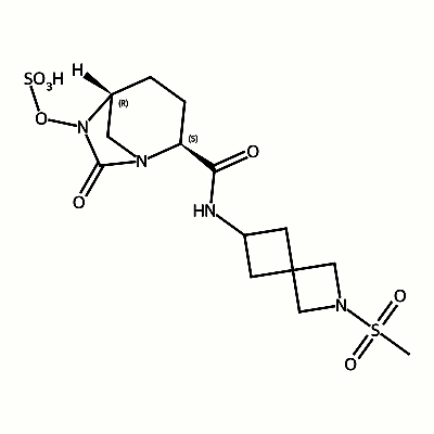 CS(=O)(=O)N1CC2(CC(NC(=O)[C@@H]3CC[C@@H]4CN3C(=O)N4OS(=O)(=O)O)C2)C1